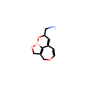 NCC1C=C2C=COCC3=C2B(OC3)O1